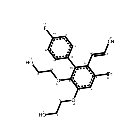 CC(C)c1cc(OCCO)c(OCCO)c(-c2ccc(F)cc2)c1C=CC#N